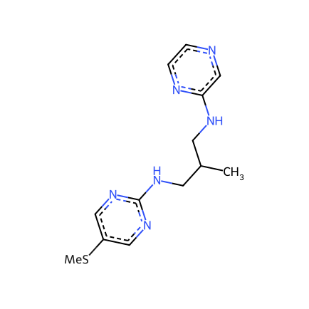 CSc1cnc(NCC(C)CNc2cnccn2)nc1